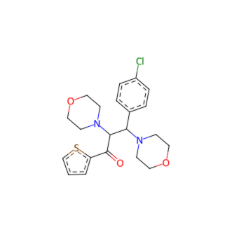 O=C(c1cccs1)C(C(c1ccc(Cl)cc1)N1CCOCC1)N1CCOCC1